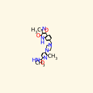 CNC(=O)c1ccc(N2CCN(Cc3ccc4c(c3)[nH]c(=O)c3c(C)noc34)CC2)c(C)n1